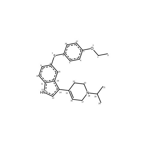 CCOc1ccc(Sc2ccc3[nH]cc(C4=CCN(C(C)C)CC4)c3c2)cc1